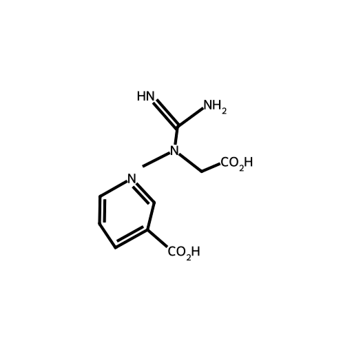 CN(CC(=O)O)C(=N)N.O=C(O)c1cccnc1